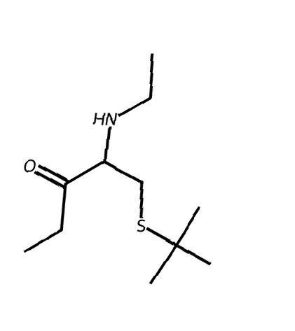 CCNC(CSC(C)(C)C)C(=O)CC